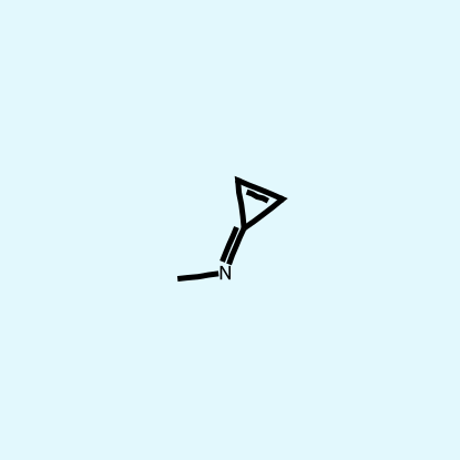 CN=c1cc1